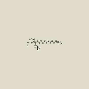 CCC(CC)CNC(CCCCCCCCCCCN)CCC(C)(C)C